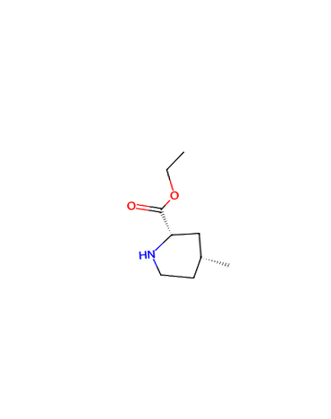 CCOC(=O)[C@@H]1C[C@H](C)CCN1